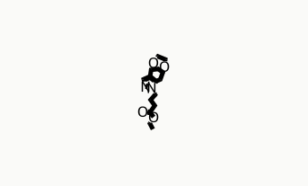 CCOC(=O)CCCn1ncc2c1CCC1(C2)OCCO1